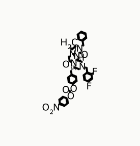 C=CCN1CC(=O)N2[C@@H](Cc3ccc(OC(=O)Oc4ccc([N+](=O)[O-])cc4)cc3)CN(Cc3ccc(F)cc3F)C[C@@H]2N1C(=O)NCc1ccccc1